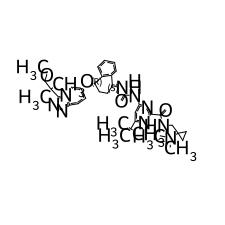 COCC(C)(C)c1nnc2ccc(O[C@@H]3CC[C@H](NC(=O)Nc4cc(C(C)(C)C)nc(C(=O)NCC5(N(C)C)CC5)n4)c4ccccc43)cn12